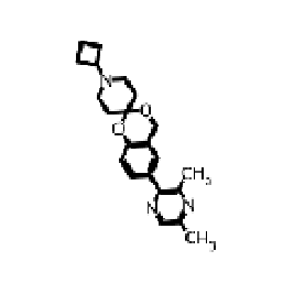 Cc1cnc(-c2ccc3c(c2)COC2(CCN(C4CCC4)CC2)O3)c(C)n1